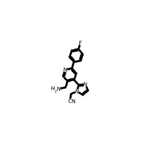 N#CCn1ccnc1-c1cc(-c2ccc(F)cc2)ncc1CN